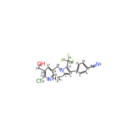 Cc1cc(-c2ccc(C#N)cc2)c(C(F)(F)F)n1Cc1cnc(Cl)c(CO)c1